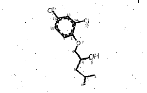 CC(C)CC(O)COc1ccc(Cl)cc1Cl